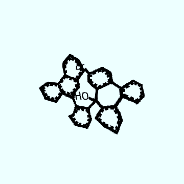 OC1(c2ccccc2-c2cc3ccccc3c3ccccc23)c2ccccc2-c2ccccc2-c2ccc(Br)cc21